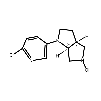 ON1C[C@@H]2CCN(c3ccc(Cl)nc3)[C@@H]2C1